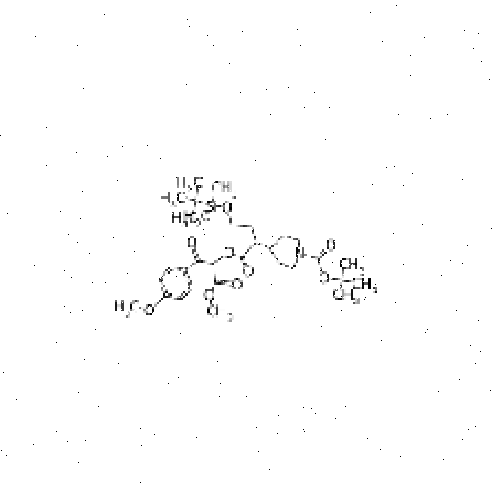 COC(=O)C(OC(=O)C(CCO[Si](C)(C)C(C)(C)C)C1CCN(C(=O)OC(C)(C)C)CC1)C(=O)c1ccc(OC)cc1